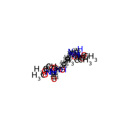 COC(=O)N[C@H](C(=O)N1CC2(CCOCC2)CC1C(=O)NCC(=O)c1ccc(-c2ccc(-c3cnc([C@@H]4CCCN4C(=O)[C@@H](NC(=O)OC)C(C)C)[nH]3)cc2)cc1)C(C)C